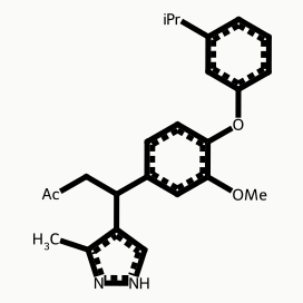 COc1cc(C(CC(C)=O)c2c[nH]nc2C)ccc1Oc1cccc(C(C)C)c1